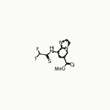 COC(=O)c1cc(NC(=S)C(F)F)c2nccn2c1